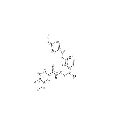 C=CP(NC(=O)COC(=C)/C=C\C(Cl)=C\F)C(O)CCNC(=O)C1CC(CC)N(C)OO1